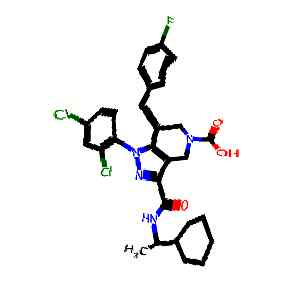 C[C@@H](NC(=O)c1nn(-c2ccc(Cl)cc2Cl)c2c1CN(C(=O)O)C/C2=C\c1ccc(F)cc1)C1CCCCC1